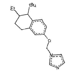 CCC1CCc2cc(OCn3ccnc3)ccc2C1C(C)(C)C